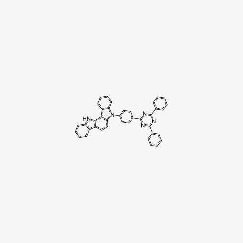 c1ccc(-c2nc(-c3ccccc3)nc(-c3ccc(-n4c5ccccc5c5c6[nH]c7ccccc7c6ccc54)cc3)n2)cc1